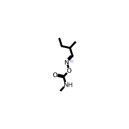 CCC(C)/C=N/OC(=O)NC